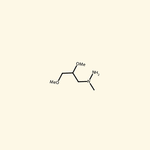 COCC(CN(C)N)OC